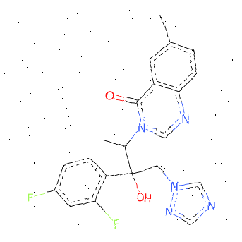 Cc1ccc2ncn(C(C)C(O)(Cn3cncn3)c3ccc(F)cc3F)c(=O)c2c1